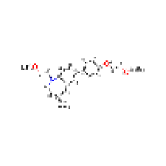 CCCCOCCOc1ccc(-c2ccc3c(c2)C=C(C(=O)O)CCN3CCOCC)cc1